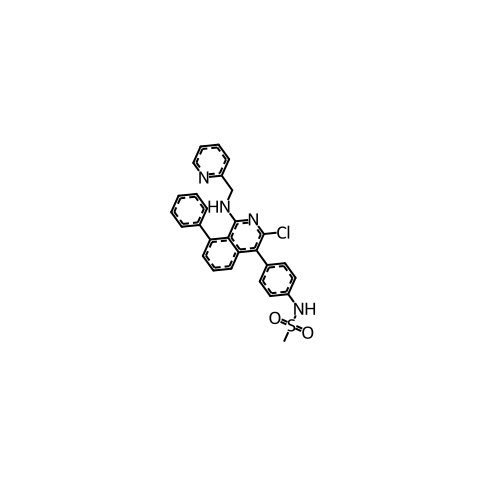 CS(=O)(=O)Nc1ccc(-c2c(Cl)nc(NCc3ccccn3)c3c(-c4ccccc4)cccc23)cc1